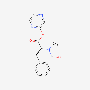 CN(C=O)[C@@H](Cc1ccccc1)C(=O)Oc1cnccn1